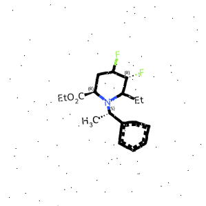 CCOC(=O)[C@H]1CC(F)[C@H](F)C(CC)N1[C@@H](C)c1ccccc1